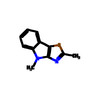 Cc1nc2c(s1)c1ccccc1n2C